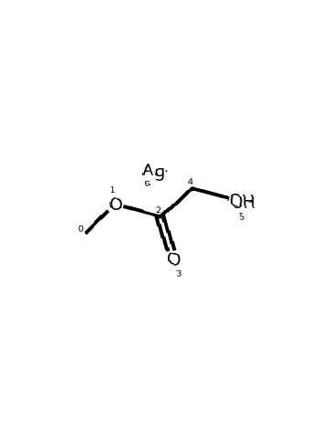 COC(=O)CO.[Ag]